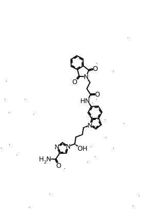 NC(=O)c1cn([C@H](O)CCCn2ccc3ccc(NC(=O)CCN4C(=O)c5ccccc5C4=O)cc32)cn1